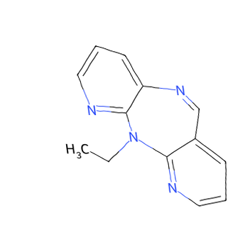 CCN1c2ncccc2C=Nc2cccnc21